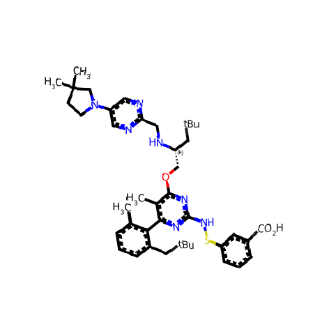 Cc1cccc(CC(C)(C)C)c1-c1nc(NSc2cccc(C(=O)O)c2)nc(OC[C@@H](CC(C)(C)C)NCc2ncc(N3CCC(C)(C)C3)cn2)c1C